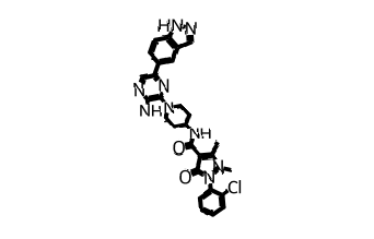 Cc1c(C(=O)NC2CCN(c3nc(-c4ccc5[nH]ncc5c4)cnc3N)CC2)c(=O)n(-c2ccccc2Cl)n1C